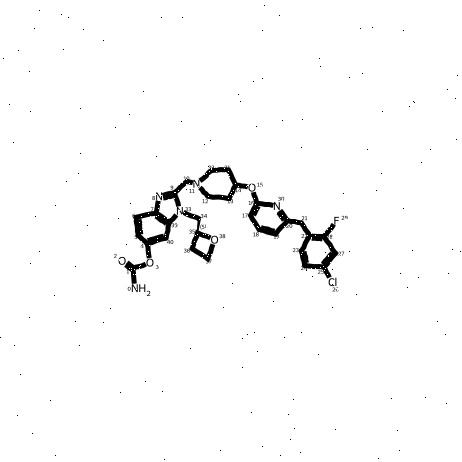 NC(=O)Oc1ccc2nc(CN3CCC(Oc4cccc(Cc5ccc(Cl)cc5F)n4)CC3)n(C[C@@H]3CCO3)c2c1